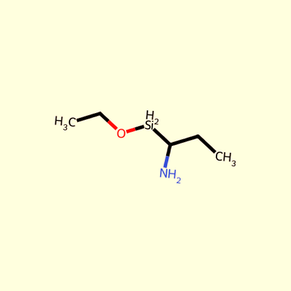 CCO[SiH2]C(N)CC